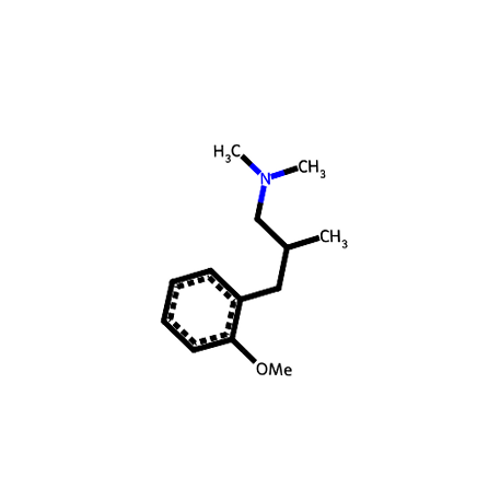 COc1ccccc1CC(C)CN(C)C